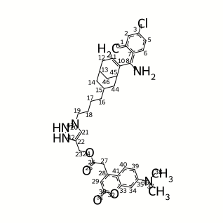 C=c1cc(Cl)cc/c1=C(\N)C1=CCC2CC(CCCCN3C=C(COC(=O)Cc4cc(=O)oc5cc(N(C)C)ccc45)NN3)CC1C2